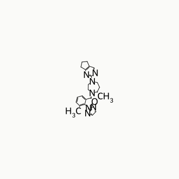 Cc1cccc(C(=O)N2CCN(c3ncc4c(n3)CCC4)CC[C@H]2C)c1-n1nccn1